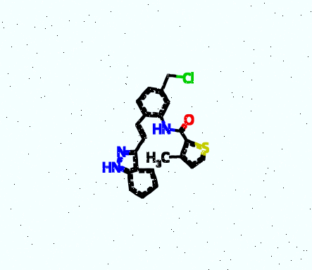 Cc1ccsc1C(=O)Nc1cc(CCl)ccc1/C=C/c1n[nH]c2ccccc12